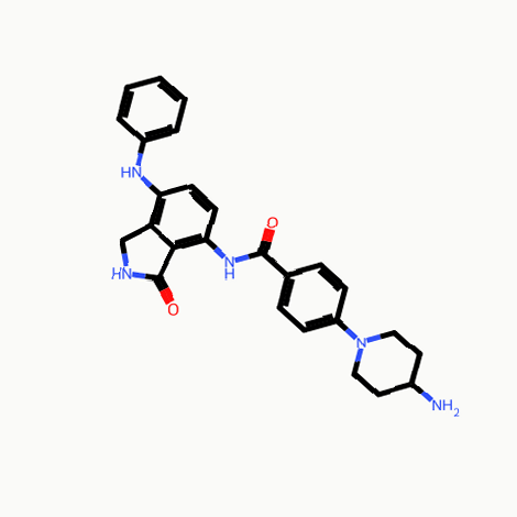 NC1CCN(c2ccc(C(=O)Nc3ccc(Nc4ccccc4)c4c3C(=O)NC4)cc2)CC1